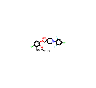 CNc1c(Cl)ccc(OCC2(O)CCN(c3c(F)cc(Cl)cc3F)CC2)c1OCC=O